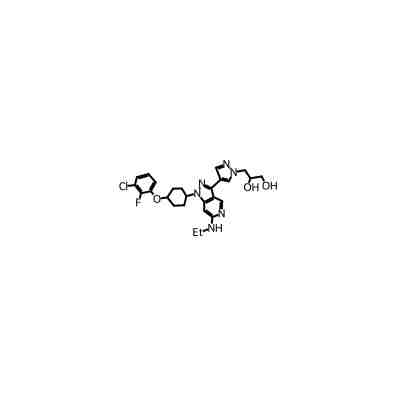 CCNc1cc2c(cn1)c(-c1cnn(CC(O)CO)c1)nn2C1CCC(Oc2cccc(Cl)c2F)CC1